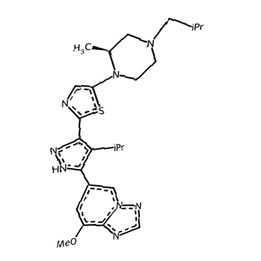 COc1cc(-c2[nH]nc(-c3ncc(N4CCN(CC(C)C)C[C@@H]4C)s3)c2C(C)C)cn2ncnc12